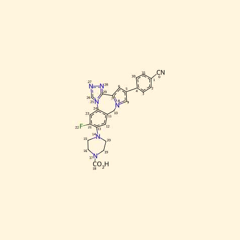 N#Cc1ccc(-c2cc3n(c2)Cc2cc(N4CCN(C(=O)O)CC4)c(F)cc2-n2cnnc2-3)cc1